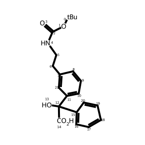 CC(C)(C)OC(=O)NCCc1cccc(C(O)(C(=O)O)c2ccccc2)c1